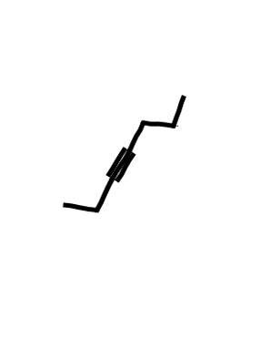 C[CH]CC#CCC